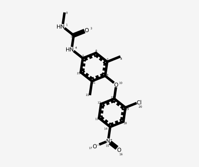 CNC(=O)Nc1cc(C)c(Oc2ccc([N+](=O)[O-])cc2Cl)c(C)c1